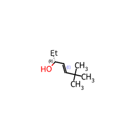 CC[C@@H](O)/C=C/C(C)(C)C